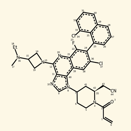 C=CC(=O)N1CCC(n2cnc3c(N4CC(N(C)CC)C4)nc4c(F)c(-c5cccc6cccc(Cl)c56)c(Cl)cc4c32)C[C@H]1CC#N